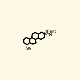 CCCCC[C@]1(C#N)CCC2C(CCC3C2CCC2C3CCC[C@@H]2CCC)C1